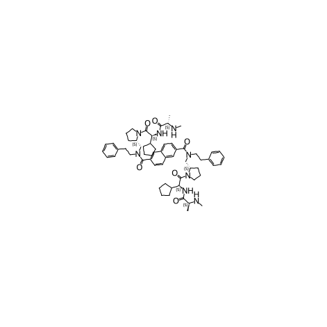 CN[C@@H](C)C(=O)N[C@H](C(=O)N1CCC[C@H]1CN(CCc1ccccc1)C(=O)c1ccc2cc(C(=O)N(CCc3ccccc3)C[C@@H]3CCCN3C(=O)[C@@H](NC(=O)[C@H](C)NC)C3CCCC3)ccc2c1)C1CCCC1